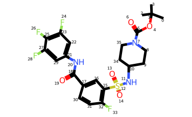 CC(C)(C)OC(=O)N1CCC(NS(=O)(=O)c2cc(C(=O)Nc3cc(F)c(F)c(F)c3)ccc2F)CC1